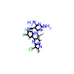 Cc1nn2cc([C@H](C)Nc3nc(N)nc(N)c3C#N)c(-c3ccc(F)c(F)c3)nc2c1Cl